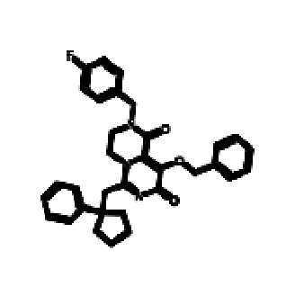 O=C1c2c(OCc3ccccc3)c(=O)nc(CC3(c4ccccc4)CCCC3)n2CCN1Cc1ccc(F)cc1